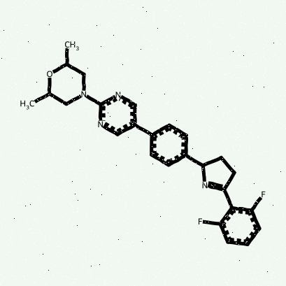 CC1CN(c2ncc(-c3ccc(C4CCC(c5c(F)cccc5F)=N4)cc3)cn2)CC(C)O1